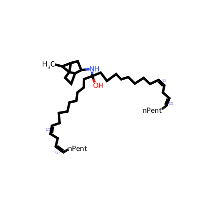 CCCCC/C=C\C/C=C\CCCCCCCCC(O)(CCCCCCCC/C=C\C/C=C\CCCCC)NC1CC2C(C)C23CCC13